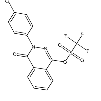 O=c1c2ccccc2c(OS(=O)(=O)C(F)(F)F)nn1-c1ccc(Cl)cc1